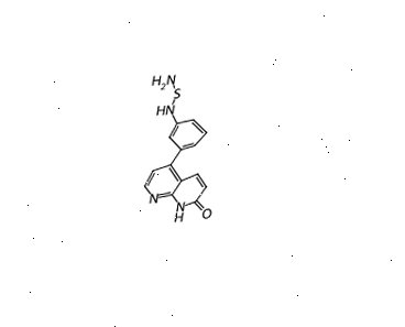 NSNc1cccc(-c2ccnc3[nH]c(=O)ccc23)c1